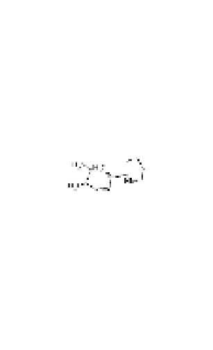 C=C(/C=C\C(C)CN)C1CCCCN1